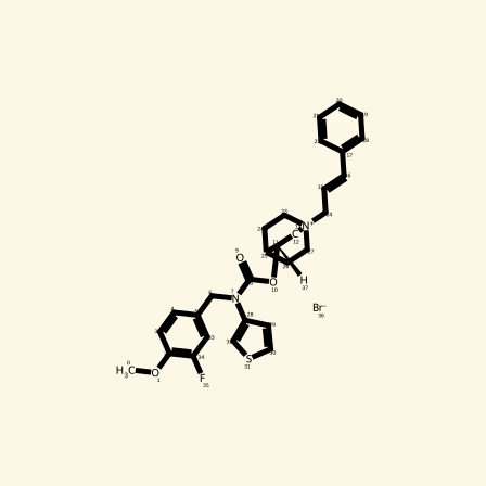 COc1ccc(CN(C(=O)O[C@H]2C[N+]3(CC=Cc4ccccc4)CCC2CC3)c2ccsc2)cc1F.[Br-]